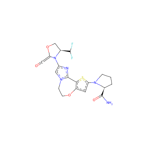 NC(=O)[C@@H]1CCCN1c1cc2c(s1)-c1nc(N3C(=C=O)OC[C@H]3C(F)F)cn1CCO2